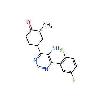 CC1CC(c2ncnc(-c3cc(F)ccc3F)c2N)CCC1=O